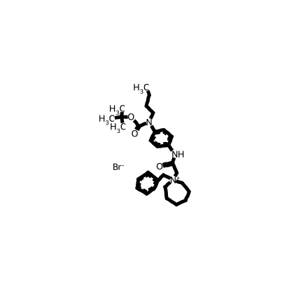 CCCCN(C(=O)OC(C)(C)C)c1ccc(NC(=O)C[N+]2(Cc3ccccc3)CCCCCC2)cc1.[Br-]